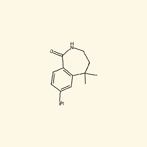 CC(C)c1ccc2c(c1)C(C)(C)CCNC2=O